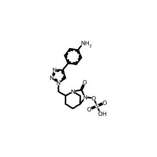 Nc1ccc(-c2cn(CC3CCC4CN3C(=O)N4OS(=O)(=O)O)nn2)cc1